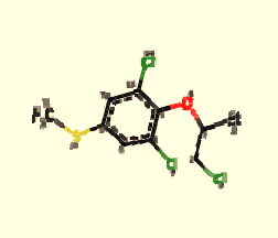 CCC(CCl)Oc1c(Cl)cc(SC(F)(F)F)cc1Cl